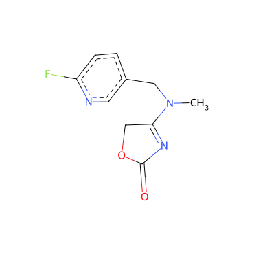 CN(Cc1ccc(F)nc1)C1=NC(=O)OC1